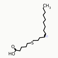 CCCCCCCC/C=C\CCCSCCCCC(=O)O